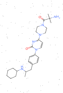 CC(Cc1ccc(-n2ccc(N3CCN(C(=O)C(C)(C)N)CC3)nc2=O)cc1)NC1CCCCC1